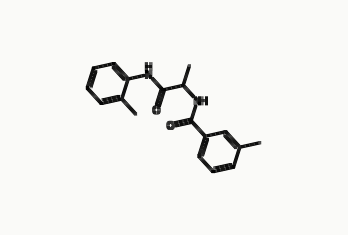 Cc1cccc(C(=O)NC(C)C(=O)Nc2ccccc2C)c1